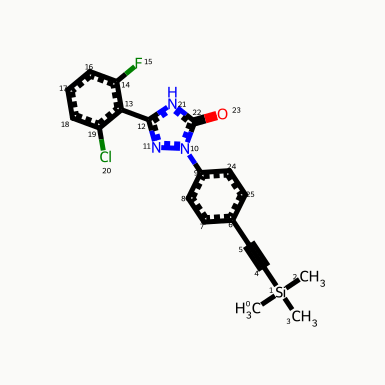 C[Si](C)(C)C#Cc1ccc(-n2nc(-c3c(F)cccc3Cl)[nH]c2=O)cc1